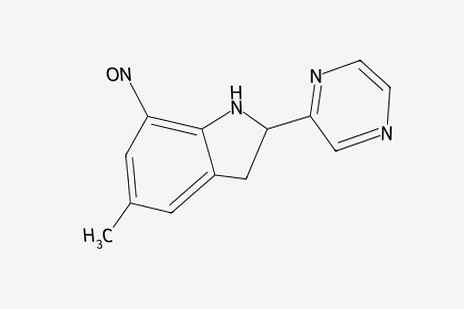 Cc1cc2c(c(N=O)c1)NC(c1cnccn1)C2